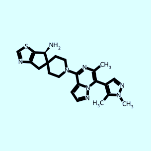 Cc1nc(N2CCC3(CC2)Cc2ncsc2[C@H]3N)c2ccnn2c1-c1cnn(C)c1C